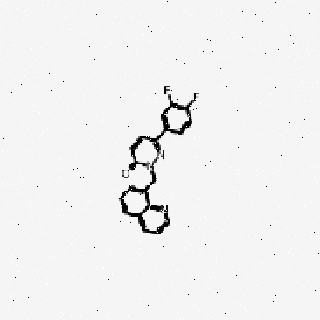 O=c1ccc(-c2ccc(F)c(F)c2)nn1Cc1cccc2cccnc12